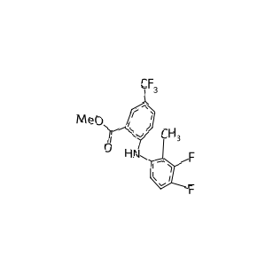 COC(=O)c1cc(C(F)(F)F)ccc1Nc1ccc(F)c(F)c1C